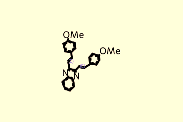 COc1ccc(/C=C/c2nc3ccccc3nc2/C=C/c2ccc(OC)cc2)cc1